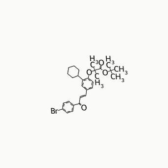 CC(C)(C)OC(=O)C(C)(C)Oc1ccc(/C=C/C(=O)c2ccc(Br)cc2)cc1C1CCCCC1